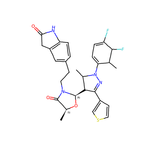 CC1C(N2N=C(c3ccsc3)C([C@H]3O[C@@H](C)C(=O)N3CCc3ccc4c(c3)CC(=O)N4)C2C)=CC=C(F)C1F